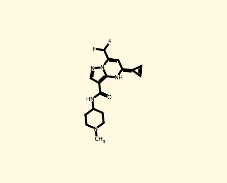 CN1CCC(NC(=O)c2cnn3c2NC(=C2C=C2)C=C3C(F)F)CC1